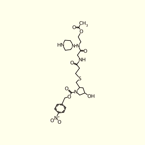 CC(=O)OCCN(C(=O)CNC(=O)CCSCC1CC(O)CN1C(=O)OCc1ccc([N+](=O)[O-])cc1)N1CCNCC1